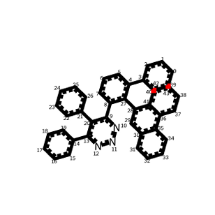 c1ccc(-c2cccc(-c3nnnc(-c4ccccc4)c3-c3ccccc3)c2-c2cc3ccccc3c3ccccc23)cc1